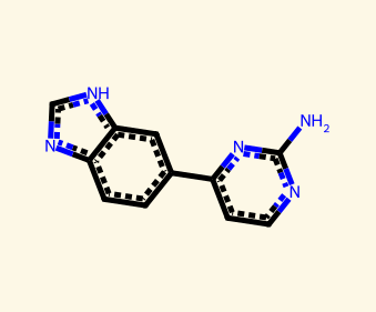 Nc1nccc(-c2ccc3nc[nH]c3c2)n1